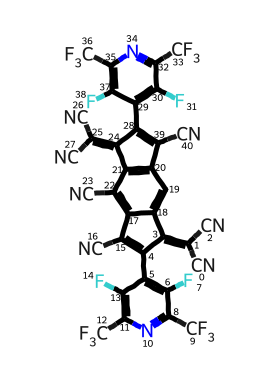 N#CC(C#N)=C1C(c2c(F)c(C(F)(F)F)nc(C(F)(F)F)c2F)=C(C#N)c2c1cc1c(c2C#N)C(=C(C#N)C#N)C(c2c(F)c(C(F)(F)F)nc(C(F)(F)F)c2F)=C1C#N